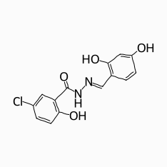 O=C(NN=Cc1ccc(O)cc1O)c1cc(Cl)ccc1O